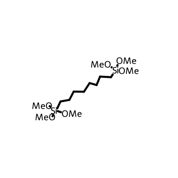 CO[Si](CCCCCCCC[Si](OC)(OC)OC)(OC)OC